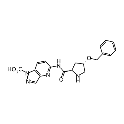 O=C(Nc1ccc2c(cnn2C(=O)O)n1)[C@H]1C[C@H](OCc2ccccc2)CN1